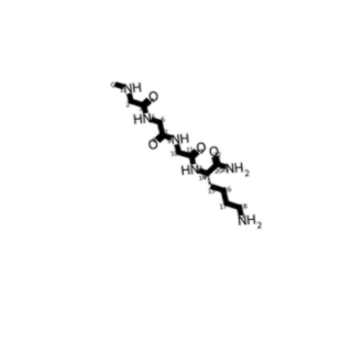 CNCC(=O)NCC(=O)NCC(=O)N[C@@H](CCCCN)C(N)=O